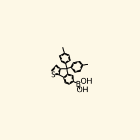 Cc1ccc(C2(c3ccc(C)cc3)c3cc(B(O)O)ccc3-c3sccc32)cc1